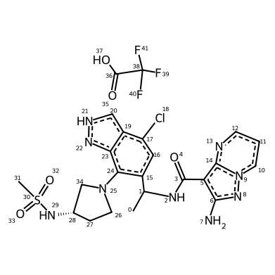 CC(NC(=O)c1c(N)nn2cccnc12)c1cc(Cl)c2c[nH]nc2c1N1CC[C@H](NS(C)(=O)=O)C1.O=C(O)C(F)(F)F